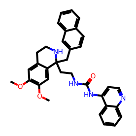 COc1cc2c(cc1OC)C(CCNC(=O)Nc1ccnc3ccccc13)(Cc1ccc3ccccc3c1)NCC2